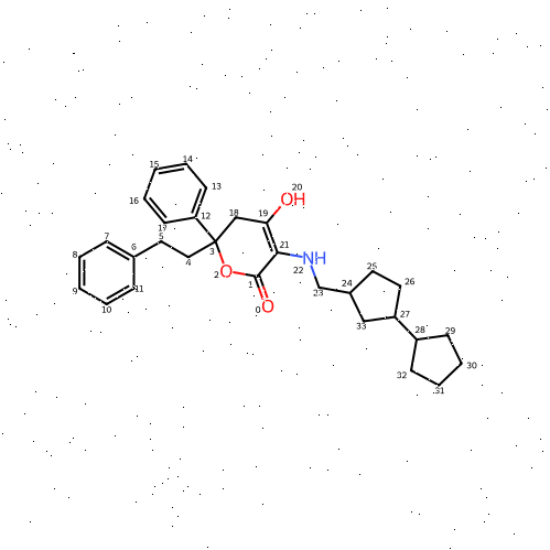 O=C1OC(CCc2ccccc2)(c2ccccc2)CC(O)=C1NCC1CCC(C2CCCC2)C1